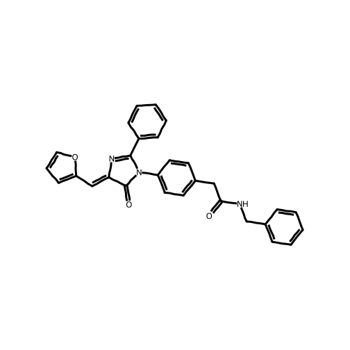 O=C(Cc1ccc(N2C(=O)C(=Cc3ccco3)N=C2c2ccccc2)cc1)NCc1ccccc1